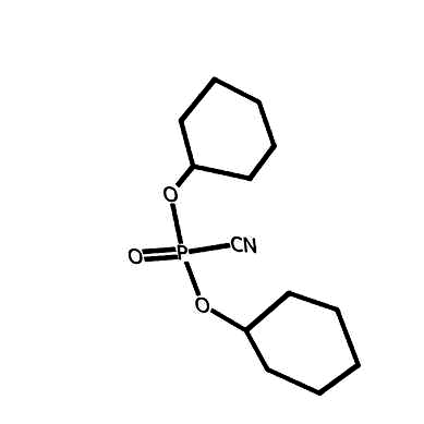 N#CP(=O)(OC1CCCCC1)OC1CCCCC1